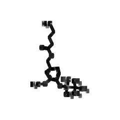 CCCCC(=O)OCc1ccc(O[Si](C)(C)C(C)(C)C)c(OC)c1